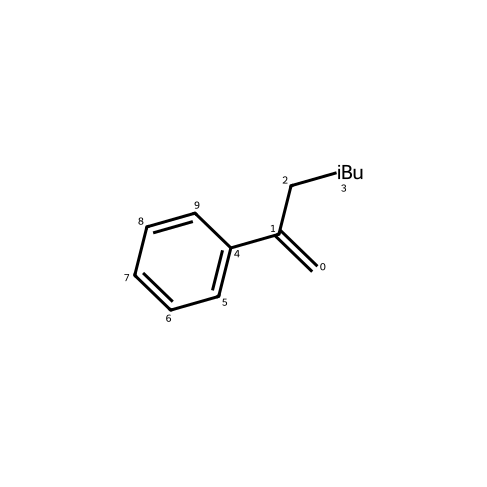 C=C(CC(C)CC)c1ccccc1